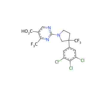 O=C(O)c1cnc(N2CCC(c3cc(Cl)c(Cl)c(Cl)c3)(C(F)(F)F)C2)nc1C(F)(F)F